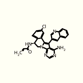 C=CC(=O)N[C@@H]1Cn2c(c(-c3cnc4ccccc4c3)c3c(N)ncnc32)-c2cc(Cl)ccc21